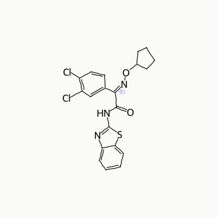 O=C(Nc1nc2ccccc2s1)/C(=N/OC1CCCC1)c1ccc(Cl)c(Cl)c1